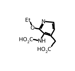 CCOc1nccc(CC(=O)O)c1NC(=O)O